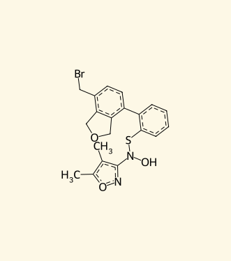 Cc1onc(N(O)Sc2ccccc2-c2ccc(CBr)c3c2COC3)c1C